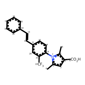 Cc1cc(C(=O)O)c(C)n1-c1ccc(C=Cc2ccccc2)cc1C(F)(F)F